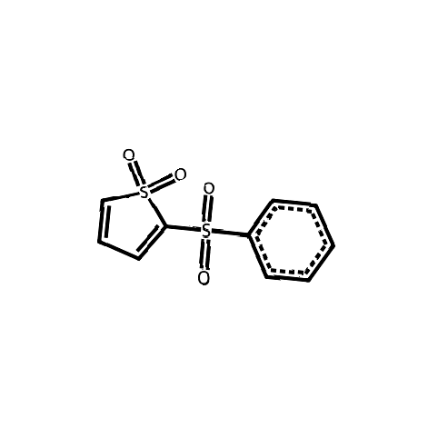 O=S1(=O)C=CC=C1S(=O)(=O)c1ccccc1